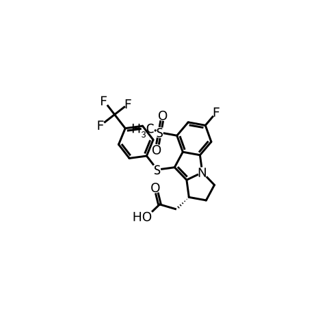 CS(=O)(=O)c1cc(F)cc2c1c(Sc1ccc(C(F)(F)F)cc1)c1n2CC[C@@H]1CC(=O)O